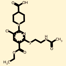 CCOC(=O)c1cc(Cl)c(N2CCC(C(=O)O)CC2)nc1SCCNC(C)=O